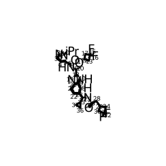 CC(C)n1nccc1C(=O)N[C@@H](COC1CC(F)(F)C1)c1nc2ccc([C@H](NC(=O)CC3CC(F)(F)C3)C3CC3)cc2[nH]1